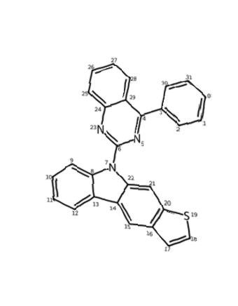 c1ccc(-c2nc(-n3c4ccccc4c4cc5ccsc5cc43)nc3ccccc23)cc1